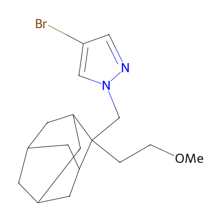 COCCC1(Cn2cc(Br)cn2)C2CC3CC(C2)CC1C3